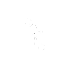 NC(=O)/C(=C\c1ccccc1)N1C=Cc2ccccc2C1